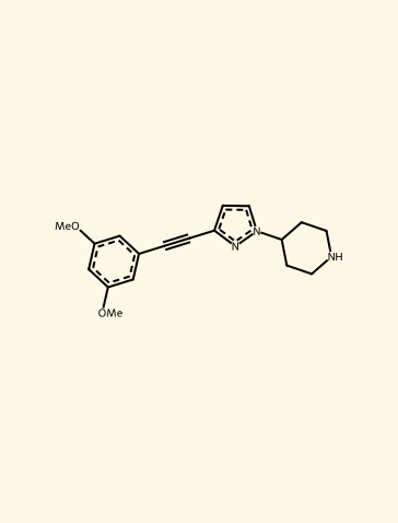 COc1cc(C#Cc2ccn(C3CCNCC3)n2)cc(OC)c1